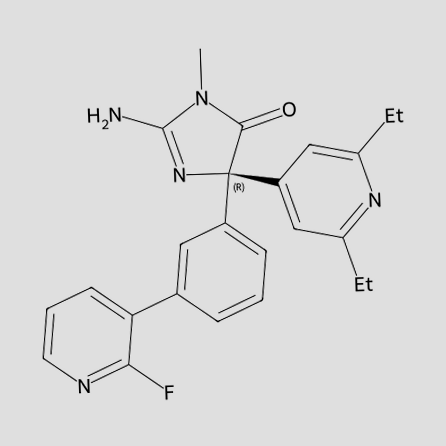 CCc1cc([C@@]2(c3cccc(-c4cccnc4F)c3)N=C(N)N(C)C2=O)cc(CC)n1